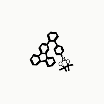 CC1(C)OB(c2ccc(-c3ccccc3-c3ccc4c5ccccc5c5ccccc5c4c3)cc2)OC1(C)C